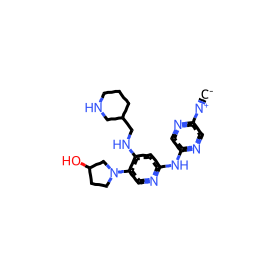 [C-]#[N+]c1cnc(Nc2cc(NCC3CCCNC3)c(N3CCC(O)C3)cn2)cn1